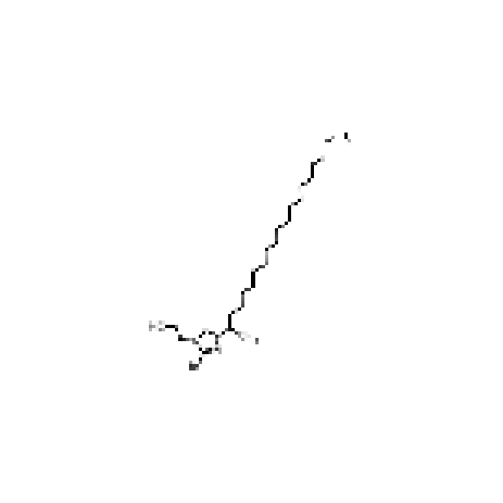 CCCCCCCCCCCCCCCCCCC(C)C1CN(CCO)C(Br)=N1